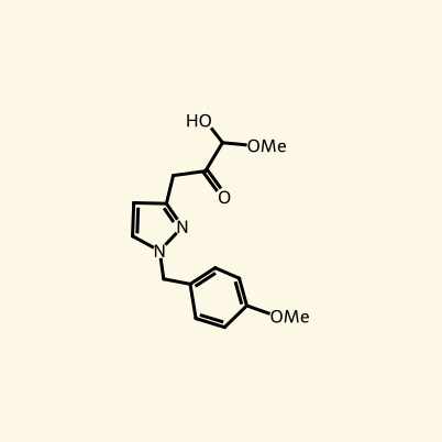 COc1ccc(Cn2ccc(CC(=O)C(O)OC)n2)cc1